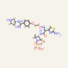 CC1(C)[C@H](NC(=O)C(=NOCCOc2ccc(C(=N)N[C@H]3CCNC3)cc2)c2csc(N)n2)C(=O)N1OS(=O)(=O)O